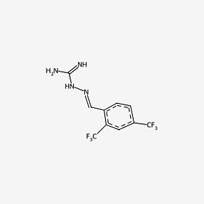 N=C(N)N/N=C/c1ccc(C(F)(F)F)cc1C(F)(F)F